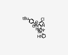 Cn1c(-c2ncc(Cl)cc2NS(=O)(=O)c2ccc(C(C)(C)C)cc2)nnc1[C@@H]1CCCN1